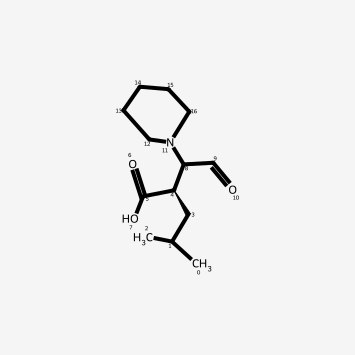 CC(C)C[C@@H](C(=O)O)C(C=O)N1CCCCC1